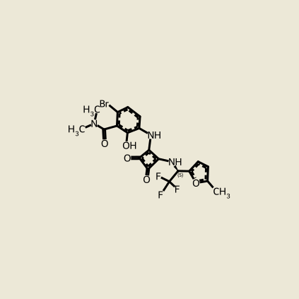 Cc1ccc([C@H](Nc2c(Nc3ccc(Br)c(C(=O)N(C)C)c3O)c(=O)c2=O)C(F)(F)F)o1